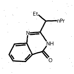 CCCC(CC)c1nc2ccccc2c(=O)[nH]1